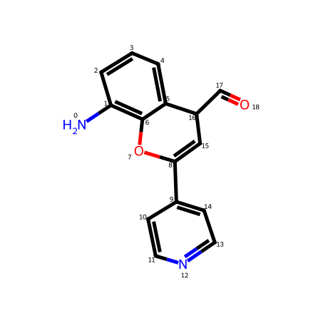 Nc1cccc2c1OC(c1ccncc1)=CC2C=O